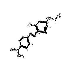 CCN(C)c1ccc(N=Nc2ccc(NOO)cc2[N+](=O)[O-])cc1